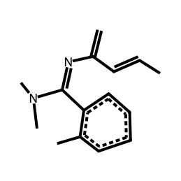 C=C(/C=C/C)/N=C(\c1ccccc1C)N(C)C